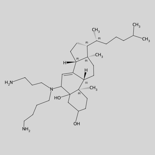 CC(C)CCC[C@@H](C)[C@H]1CC[C@H]2C3=CC(N(CCCN)CCCCN)C4(O)CC(O)CC[C@]4(C)[C@H]3CC[C@]12C